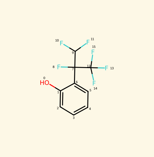 Oc1ccccc1C(F)(C(F)F)C(F)(F)F